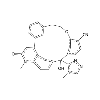 Cn1cnnc1C1(O)c2ccc(C#N)c(c2)OCCc2cccc(c2)-c2cc(=O)n(C)c3ccc1cc23